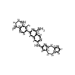 Cc1c(-c2cc3cc(Nc4cc5n(n4)Cc4nccn4CC5)ncc3c(N)n2)cnc2c1NCC[C@@H]2F